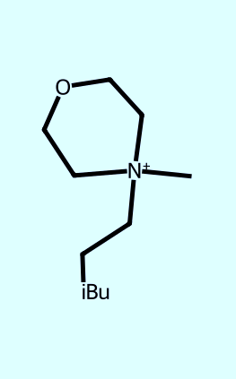 CCC(C)CC[N+]1(C)CCOCC1